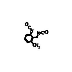 Cc1cccc(N=C=O)c1CN=C=O